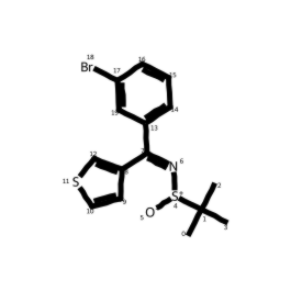 CC(C)(C)[S+]([O-])N=C(c1ccsc1)c1cccc(Br)c1